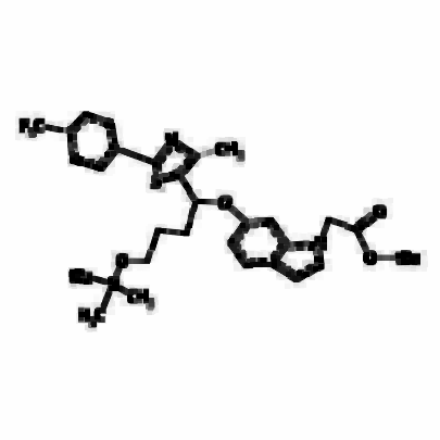 Cc1nc(-c2ccc(C(F)(F)F)cc2)sc1C(CCCO[Si](C)(C)C(C)(C)C)Oc1ccc2ccn(CC(=O)OC(C)(C)C)c2c1